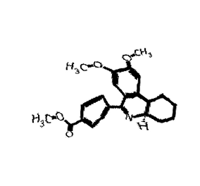 COC(=O)c1ccc(C2=N[C@@H]3CCCCC3c3cc(OC)c(OC)cc32)cc1